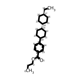 CCCOC(=O)c1ccc(C2CCC([C@H]3CC[C@H](CC)CC3)CC2)cc1